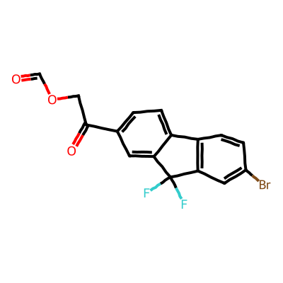 O=COCC(=O)c1ccc2c(c1)C(F)(F)c1cc(Br)ccc1-2